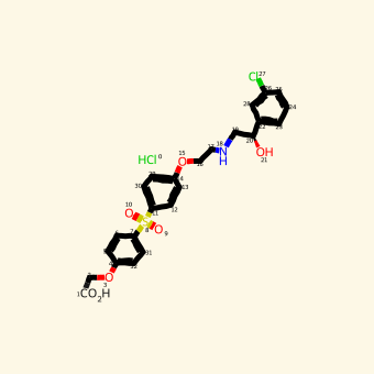 Cl.O=C(O)COc1ccc(S(=O)(=O)c2ccc(OCCNC[C@H](O)c3cccc(Cl)c3)cc2)cc1